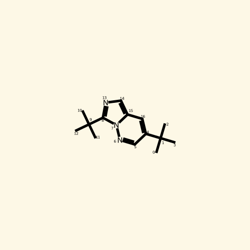 CC(C)(C)c1cnn2c(C(C)(C)C)ncc2c1